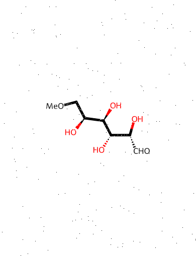 COC[C@H](O)[C@@H](O)[C@@H](O)[C@H](O)C=O